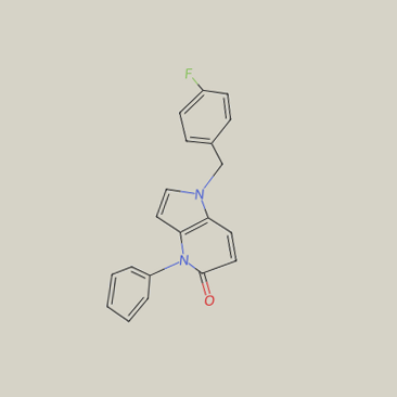 O=c1ccc2c(ccn2Cc2ccc(F)cc2)n1-c1ccccc1